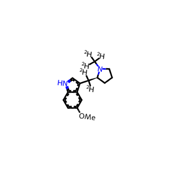 [2H]C([2H])(c1c[nH]c2ccc(OC)cc12)[C@@H]1CCCN1C([2H])([2H])[2H]